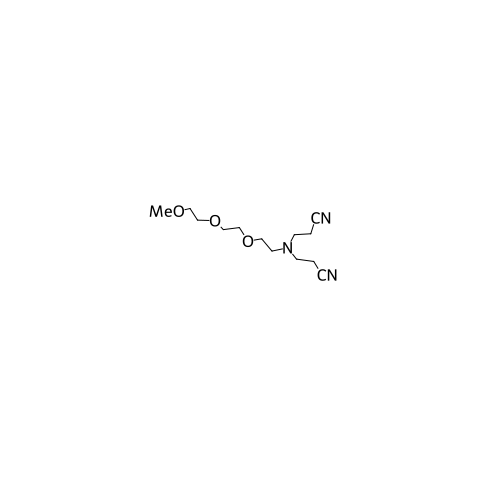 COCCOCCOCCN(CCC#N)CCC#N